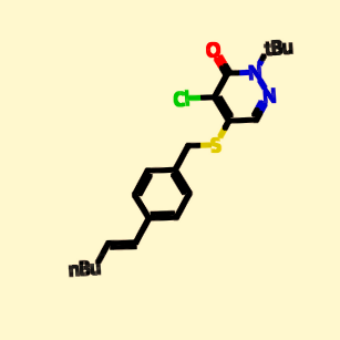 CCCCC=Cc1ccc(CSc2cnn(C(C)(C)C)c(=O)c2Cl)cc1